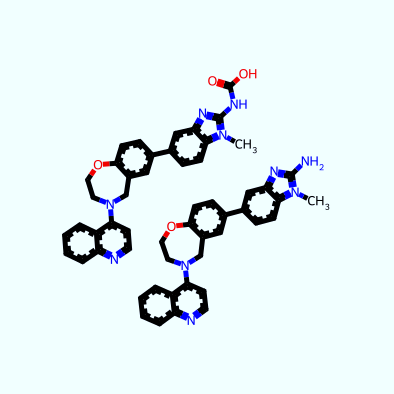 Cn1c(N)nc2cc(-c3ccc4c(c3)CN(c3ccnc5ccccc35)CCO4)ccc21.Cn1c(NC(=O)O)nc2cc(-c3ccc4c(c3)CN(c3ccnc5ccccc35)CCO4)ccc21